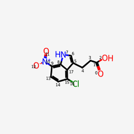 O=C(O)CCc1c[nH]c2c([N+](=O)[O-])ccc(Cl)c12